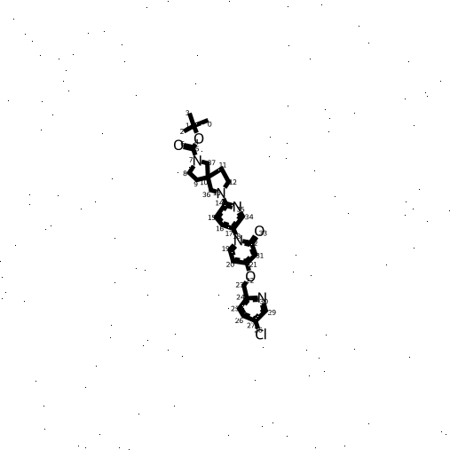 CC(C)(C)OC(=O)N1CCC2(CCN(c3ccc(-n4ccc(OCc5ccc(Cl)cn5)cc4=O)cn3)C2)C1